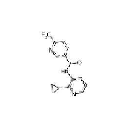 O=C(Nc1cccnc1C1CC1)c1ccc(C(F)(F)F)nc1